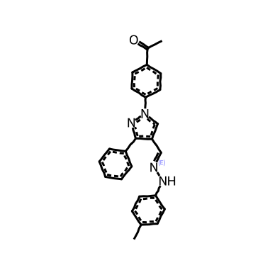 CC(=O)c1ccc(-n2cc(/C=N/Nc3ccc(C)cc3)c(-c3ccccc3)n2)cc1